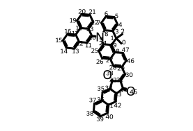 CC1(C)c2ccccc2N(c2cc3ccccc3c3ccccc23)c2ccc3cc(C=C4C(=O)c5cc6ccccc6cc5C4=O)ccc3c21